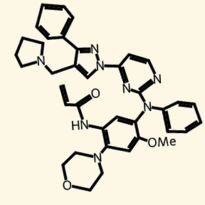 C=CC(=O)Nc1cc(N(c2ccccc2)c2nccc(-n3cc(CN4CCCC4)c(-c4ccccc4)n3)n2)c(OC)cc1N1CCOCC1